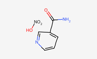 NC(=O)c1cccnc1.O=[N+]([O-])O